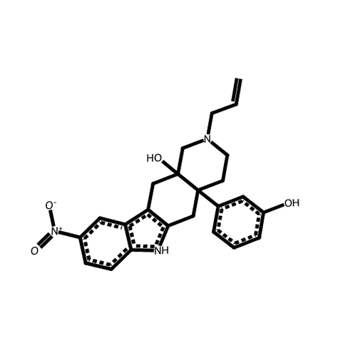 C=CCN1CCC2(c3cccc(O)c3)Cc3[nH]c4ccc([N+](=O)[O-])cc4c3CC2(O)C1